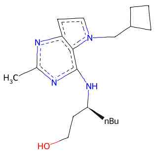 CCCC[C@@H](CCO)Nc1nc(C)nc2ccn(CC3CCC3)c12